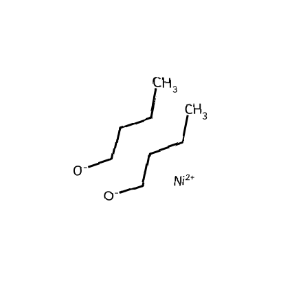 CCCC[O-].CCCC[O-].[Ni+2]